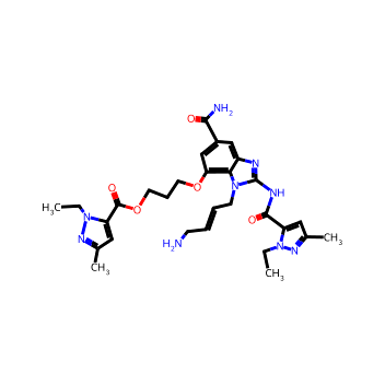 CCn1nc(C)cc1C(=O)Nc1nc2cc(C(N)=O)cc(OCCCOC(=O)c3cc(C)nn3CC)c2n1C/C=C/CN